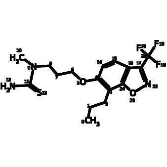 CCCc1c(OCCCN(C)C(N)=S)ccc2c(C(F)(F)F)noc12